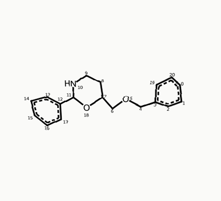 c1ccc(COCC2CCNC(c3ccccc3)O2)cc1